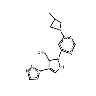 CC1CN(c2cc(N3NC=C(n4ccnn4)C3C=O)ncn2)C1